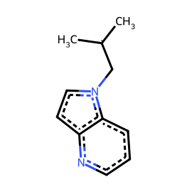 C[C](C)Cn1ccc2ncccc21